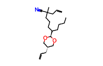 C=CCC(C)(C#N)CCCC(CCCC)[C@H]1OC[C@H](CC=C)CO1